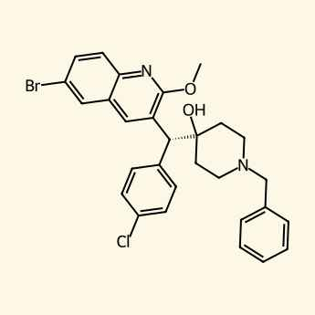 COc1nc2ccc(Br)cc2cc1[C@@H](c1ccc(Cl)cc1)C1(O)CCN(Cc2ccccc2)CC1